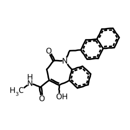 CNC(=O)C1=C(O)c2ccccc2N(Cc2ccc3ccccc3c2)C(=O)C1